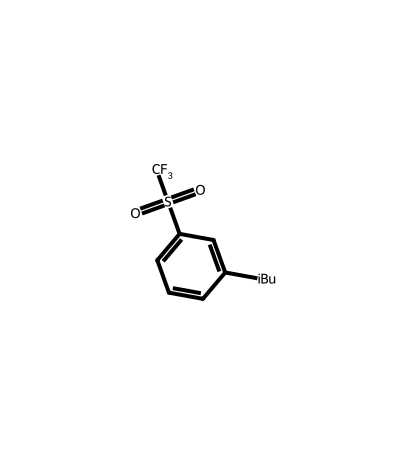 CCC(C)c1cccc(S(=O)(=O)C(F)(F)F)c1